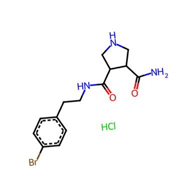 Cl.NC(=O)C1CNCC1C(=O)NCCc1ccc(Br)cc1